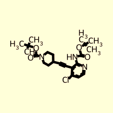 CC(C)(C)OC(=O)Nc1nccc(Cl)c1C#CC1CCN(C(=O)OC(C)(C)C)CC1